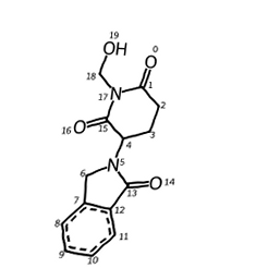 O=C1CCC(N2Cc3ccccc3C2=O)C(=O)N1CO